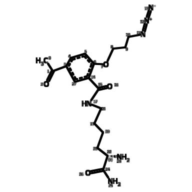 CC(=O)c1ccc(OCCCN=[N+]=[N-])c(C(=O)NCCCC[C@H](N)C(N)=O)c1